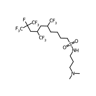 CN(C)CCCNS(=O)(=O)CCCCC(CC(CC(F)(C(F)(F)F)C(F)(F)F)C(F)(F)F)C(F)(F)F